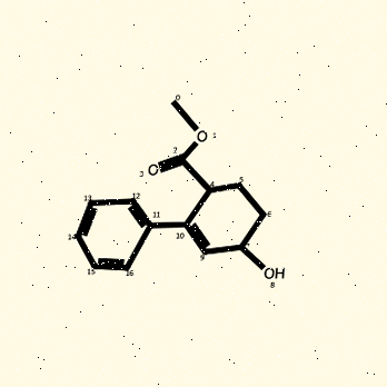 COC(=O)C1CCC(O)C=C1c1ccccc1